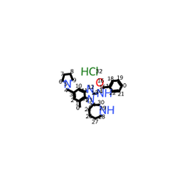 Cc1cc(CN2CCCC2)cc2nc(NC(=O)c3ccccc3)n(C3CCCCNC3)c12.Cl